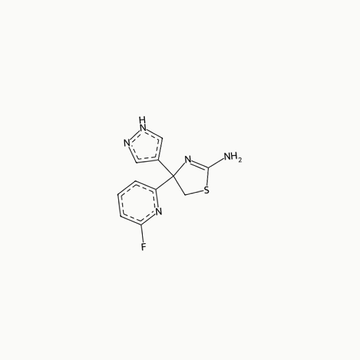 NC1=NC(c2cn[nH]c2)(c2cccc(F)n2)CS1